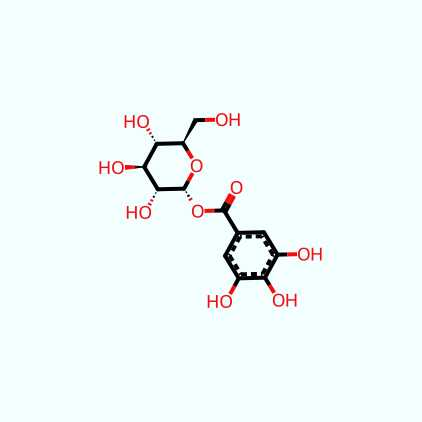 O=C(O[C@H]1O[C@H](CO)[C@@H](O)[C@H](O)[C@H]1O)c1cc(O)c(O)c(O)c1